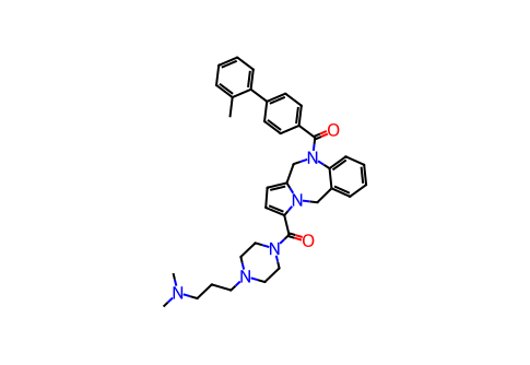 Cc1ccccc1-c1ccc(C(=O)N2Cc3ccc(C(=O)N4CCN(CCCN(C)C)CC4)n3Cc3ccccc32)cc1